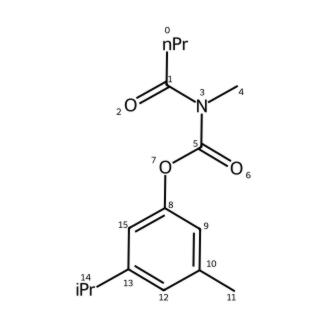 CCCC(=O)N(C)C(=O)Oc1cc(C)cc(C(C)C)c1